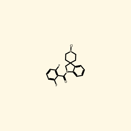 O=C(c1c(F)cccc1F)N1CC2(CCN(Cl)CC2)c2ccccc21